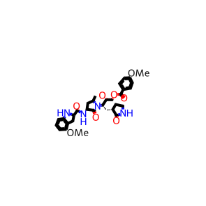 COc1ccc(C(=O)OCC(=O)[C@H](C[C@@H]2CCNC2=O)N2C(=O)[C@@H](NC(=O)C3Cc4c(cccc4OC)N3)CC2C)cc1